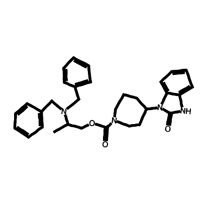 CC(COC(=O)N1CCCC(n2c(=O)[nH]c3ccccc32)CC1)N(Cc1ccccc1)Cc1ccccc1